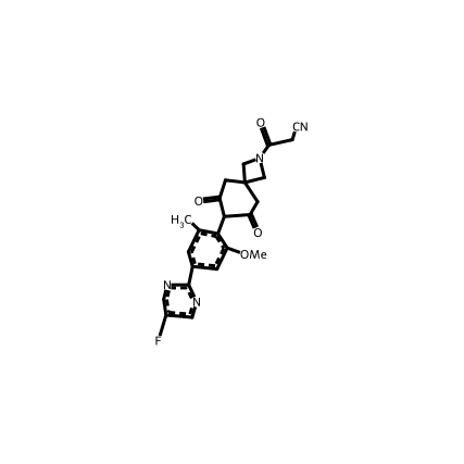 COc1cc(-c2ncc(F)cn2)cc(C)c1C1C(=O)CC2(CC1=O)CN(C(=O)CC#N)C2